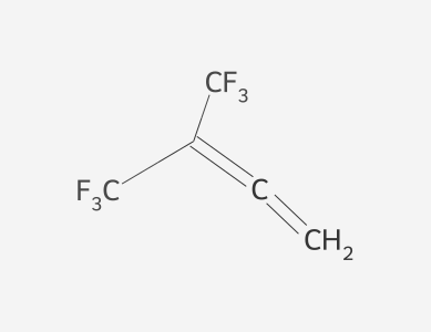 C=C=C(C(F)(F)F)C(F)(F)F